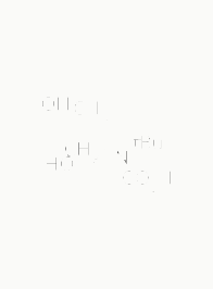 CC(C)(CO)C[C@@H](CO)N(C(=O)O)C(C)(C)C